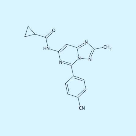 Cc1nc2cc(NC(=O)C3CC3)nc(-c3ccc(C#N)cc3)n2n1